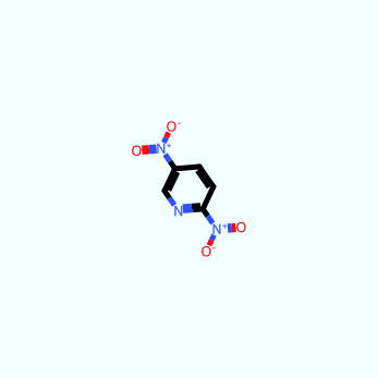 O=[N+]([O-])c1ccc([N+](=O)[O-])nc1